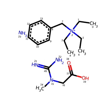 CC[N+](CC)(CC)Cc1ccccc1.CN(CC(=O)O)C(=N)N.N